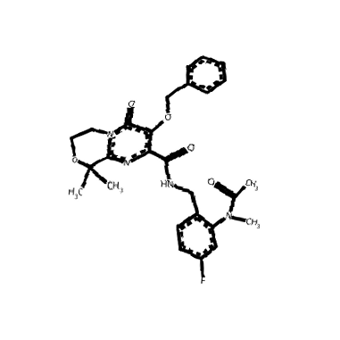 CC(=O)N(C)c1cc(F)ccc1CNC(=O)c1nc2n(c(=O)c1OCc1ccccc1)CCOC2(C)C